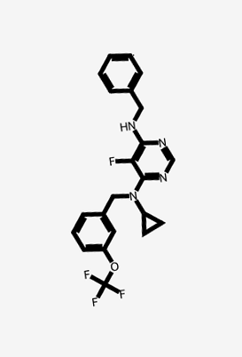 Fc1c(NCc2c[c]ccc2)ncnc1N(Cc1cccc(OC(F)(F)F)c1)C1CC1